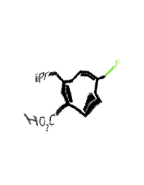 CC(C)c1cc(F)ccc1C(=O)O